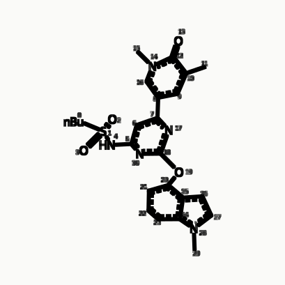 CCCCS(=O)(=O)Nc1cc(-c2cc(C)c(=O)n(C)c2)nc(Oc2cccc3c2ccn3C)n1